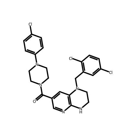 O=C(c1cnc2c(c1)N(Cc1cc(Cl)ccc1Cl)CCN2)N1CCN(c2ccc(Cl)cc2)CC1